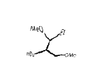 CCCCC(COC)C(CC)OC